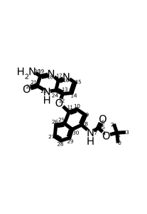 CC(C)(C)OC(=O)Nc1ccc(Oc2ccnc3nc(N)c(=O)[nH]c23)c2ccccc12